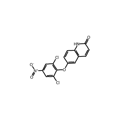 O=c1ccc2cc(Oc3c(Cl)cc([N+](=O)[O-])cc3Cl)ccc2[nH]1